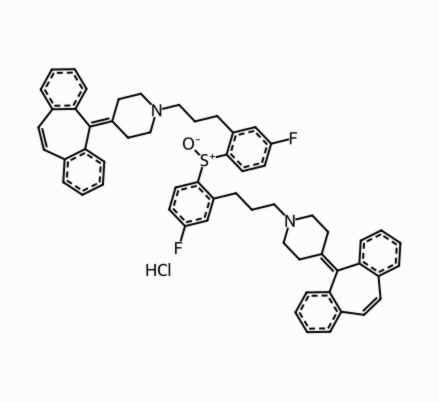 Cl.[O-][S+](c1ccc(F)cc1CCCN1CCC(=C2c3ccccc3C=Cc3ccccc32)CC1)c1ccc(F)cc1CCCN1CCC(=C2c3ccccc3C=Cc3ccccc32)CC1